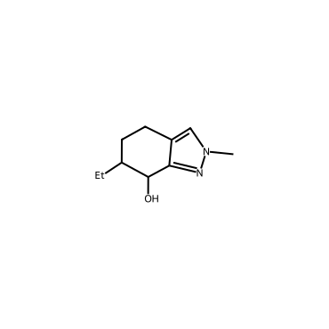 CCC1CCc2cn(C)nc2C1O